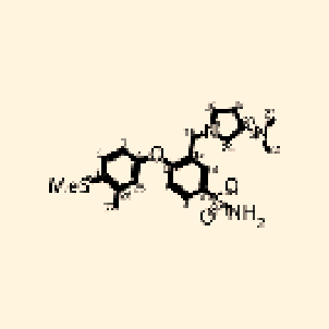 CSc1ccc(Oc2ccc(S(N)(=O)=O)cc2CN2CC[C@H](N(C)C)C2)cc1C